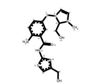 CN1C=CN(Sc2ccc(N)c(C(=O)Nc3nc(CO)cs3)c2)C1CO